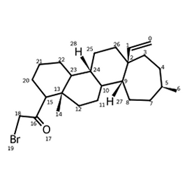 C=C[C@@]12CC[C@@H](C)CC[C@@H]1C1CC[C@]3(C)C(C(=O)CBr)CCCC3[C@@H]1CC2